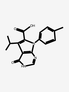 Cc1ccc(-n2c(C(=O)O)c(C(C)C)c3c(=O)[nH]cnc32)cc1